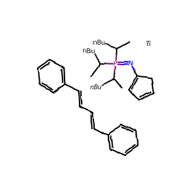 C(C=Cc1ccccc1)=Cc1ccccc1.CCCCC(C)P(=NC1=CC=CC1)(C(C)CCCC)C(C)CCCC.[Ti]